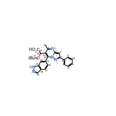 Cc1nc2cc(-c3ccccc3)nn2c(-c2ccc3cn[nH]c3c2)c1C(OC(C)(C)C)C(=O)O